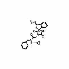 CON=C1C[C@]2(NC(=O)N(CC(=O)N(Cc3ccccc3)[C@@H](C)C3CC3)C2=O)c2ccccc21